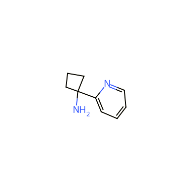 NC1(c2ccccn2)CCC1